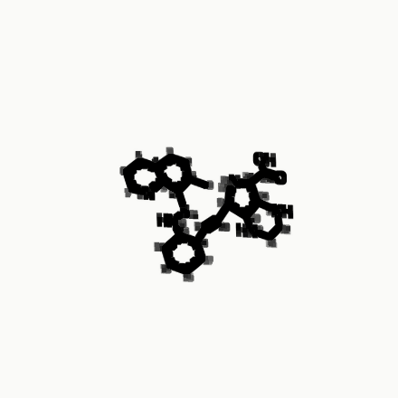 Cc1ccc2cccnc2c1SNc1ccccc1C#Cc1cnc(C(=O)O)c2c1NCCN2